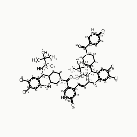 CC(C)(C)[S@+]([O-])N[C@@H](c1cc(Cl)c(Cl)cc1O)C1CCN(C(=O)c2c[nH]c(=O)cc2C=CCOc2cc(Cl)c(Cl)cc2[C@H](N[S@@+]([O-])C(C)(C)C)C2CCN(C(=O)c3ccc(=O)[nH]c3)CC2)CC1